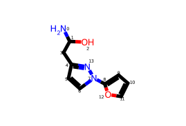 NC(O)Cc1ccn(-c2ccco2)n1